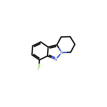 Fc1cccc2c3n(nc12)CCCC3